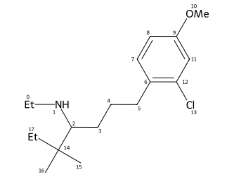 CCNC(CCCc1ccc(OC)cc1Cl)C(C)(C)CC